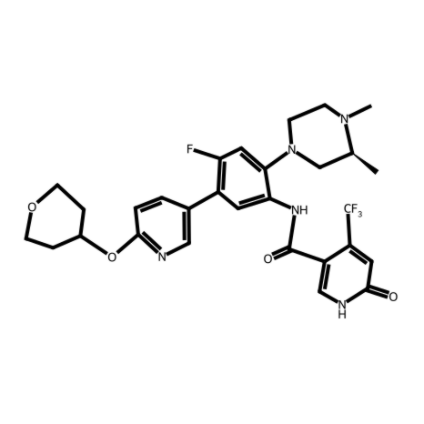 C[C@H]1CN(c2cc(F)c(-c3ccc(OC4CCOCC4)nc3)cc2NC(=O)c2c[nH]c(=O)cc2C(F)(F)F)CCN1C